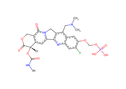 CC[C@@]1(OC(=O)NC(C)C)C(=O)OCc2c1cc1n(c2=O)Cc2c-1nc1cc(F)c(OCOP(=O)(O)O)cc1c2CN(C)C